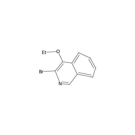 CCOc1c(Br)ncc2ccccc12